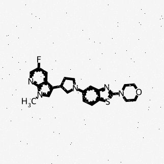 Cn1cc(C2CCN(c3ccc4sc(N5CCOCC5)nc4c3)C2)c2cc(F)cnc21